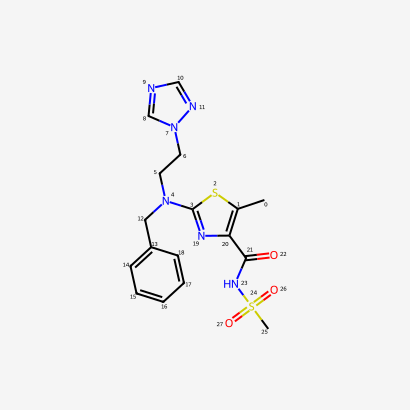 Cc1sc(N(CCn2cncn2)Cc2ccccc2)nc1C(=O)NS(C)(=O)=O